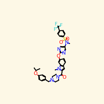 CC(C)Oc1ccc(CN2CCN(C(=O)c3cc4ccc(Oc5ncc(N(C)S(=O)(=O)c6ccc(C(F)(F)F)cc6)cn5)cc4n3C)CC2)cc1